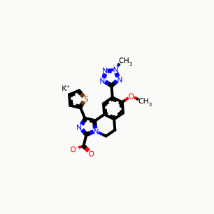 COc1cc2c(cc1-c1nnn(C)n1)-c1c(-c3cccs3)nc(C(=O)[O-])n1CC2.[K+]